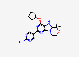 CC1(C)OCCN2c3nc(-c4cnc(N)nc4)nc(OC4CCCC4)c3NC21